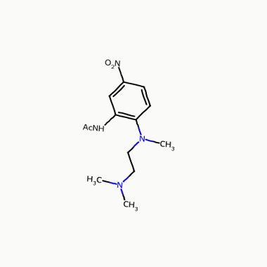 CC(=O)Nc1cc([N+](=O)[O-])ccc1N(C)CCN(C)C